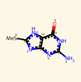 CSc1nc2nc(N)[nH]c(=O)c2[nH]1